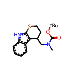 CN(CC1CCSc2[nH]c3ccccc3c21)C(=O)OC(C)(C)C